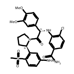 COc1ccc([C@H](Nc2cc(C(N)=O)ccc2Cl)C(=O)N2CCC[C@@H]2c2cc(NC(C)=O)ccc2S(C)(=O)=O)cc1OC